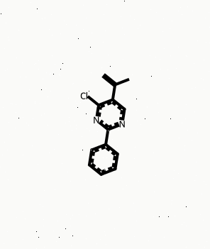 C=C(C)c1cnc(-c2ccccc2)nc1Cl